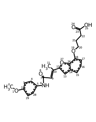 COc1ccc(NC(=O)C=C(C)c2cc3cccc(OCCCC(=O)O)c3o2)cc1